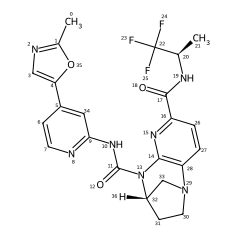 Cc1ncc(-c2ccnc(NC(=O)N3c4nc(C(=O)N[C@H](C)C(F)(F)F)ccc4N4CC[C@H]3C4)c2)o1